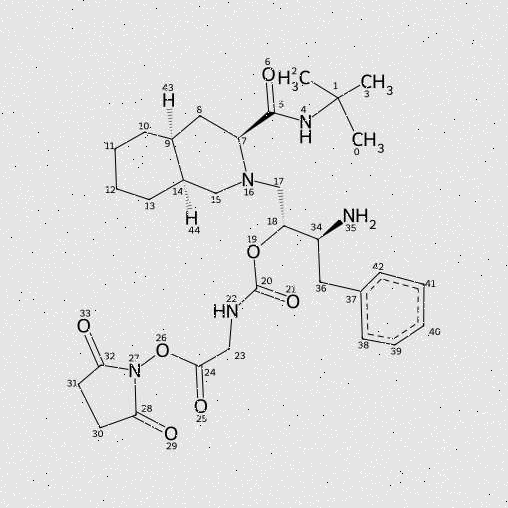 CC(C)(C)NC(=O)[C@@H]1C[C@@H]2CCCC[C@@H]2CN1C[C@@H](OC(=O)NCC(=O)ON1C(=O)CCC1=O)[C@@H](N)Cc1ccccc1